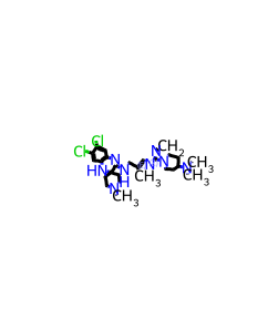 C=N/C(=N\C=C(/C)CNC1=Nc2cc(Cl)c(Cl)cc2NC12CCN(C)CC2)N1CCC(N(C)C)CC1